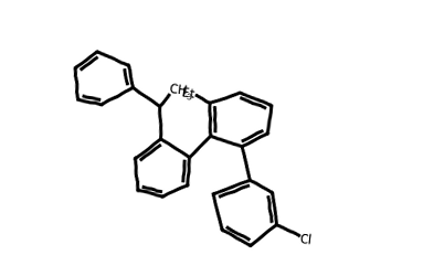 CCc1cccc(-c2cccc(Cl)c2)c1-c1ccccc1C(C)c1ccccc1